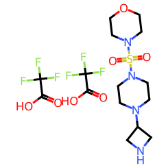 O=C(O)C(F)(F)F.O=C(O)C(F)(F)F.O=S(=O)(N1CCOCC1)N1CCN(C2CNC2)CC1